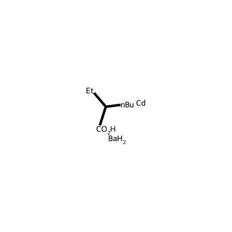 CCCCC(CC)C(=O)O.[BaH2].[Cd]